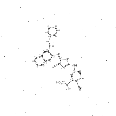 CCC(C(=O)O)c1cc(NC2=NC(=O)C(=Cc3cc4ccccc4cc3OCc3ccccc3)S2)cc[c]1[Na]